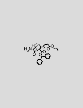 C=CCOC(=O)/C=C\SC1=C(C(=O)OC(c2ccccc2)c2ccccc2)N2C(=O)[C@@H](N)[C@H]2SC1